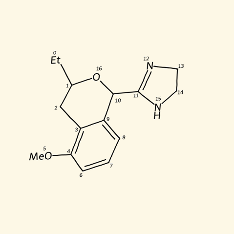 CCC1Cc2c(OC)cccc2C(C2=NCCN2)O1